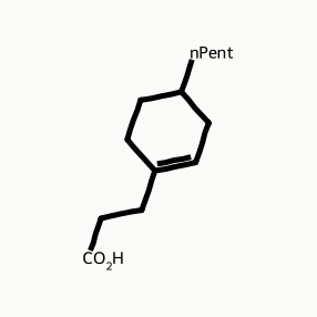 CCCCCC1CC=C(CCC(=O)O)CC1